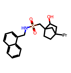 CC(C)C12CCC(CS(=O)(=O)NCc3cccc4ccccc34)(C1)C(O)C2